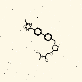 CCN(C)C(=O)COC1CCN(Cc2ccc(-c3ccc(-c4noc(C)n4)cc3)cc2)C1